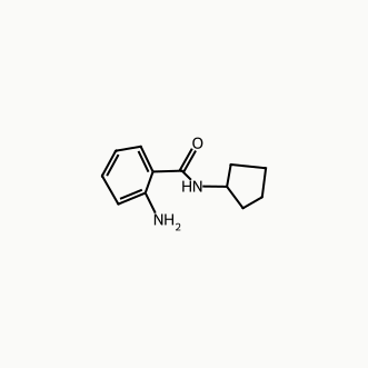 Nc1ccccc1C(=O)NC1CCCC1